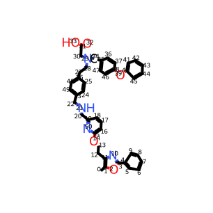 Cc1oc(-c2ccccc2)nc1CCOc1cccc(CNCc2ccc(CCN(CC(=O)O)Cc3ccc(Oc4ccccc4)cc3)cc2)n1